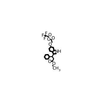 CCOC(=O)CC(c1ccccc1)c1c[nH]c2cc(OCC(=O)OC(=O)C(F)(F)F)ccc12